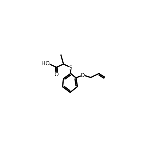 C=CCOc1ccccc1SC(C)C(=O)O